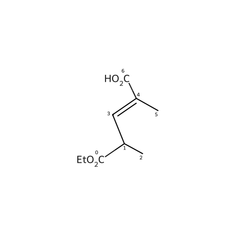 CCOC(=O)C(C)/C=C(\C)C(=O)O